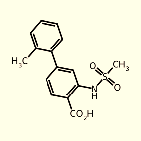 Cc1ccccc1-c1ccc(C(=O)O)c(NS(C)(=O)=O)c1